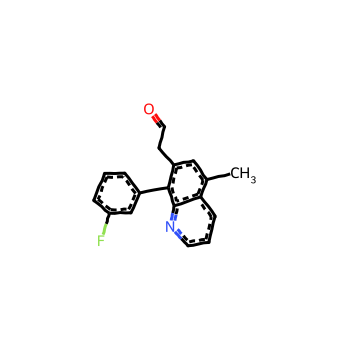 Cc1cc(CC=O)c(-c2cccc(F)c2)c2ncccc12